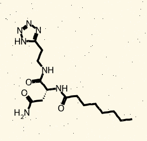 CCCCCCCC(=O)N[C@H](CC(N)=O)C(=O)NCCc1nnn[nH]1